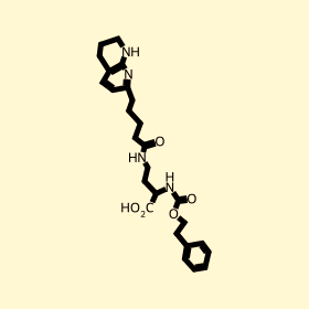 O=C(CCCCc1ccc2c(n1)NCCC2)NCCC(NC(=O)OCCc1ccccc1)C(=O)O